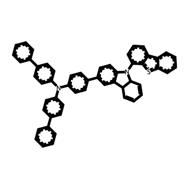 C1=CC2c3cc(-c4ccc(N(c5ccc(-c6ccccc6)cc5)c5ccc(-c6ccccc6)cc5)cc4)ccc3N(c3cccc4c3sc3ccccc34)C2C=C1